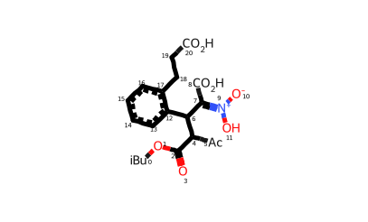 CCC(C)OC(=O)C(C(C)=O)C(C(C(=O)O)=[N+]([O-])O)c1ccccc1CCC(=O)O